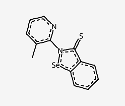 Cc1cccnc1-n1[se]c2ccccc2c1=S